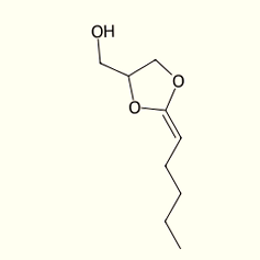 CCCCC=C1OCC(CO)O1